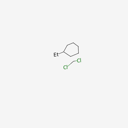 CCC1CCCCC1.ClCCl